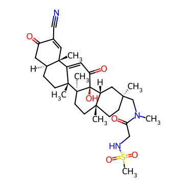 CN(C[C@@]1(C)CC[C@]2(C)CC[C@@]3(C)[C@]4(C)CC[C@H]5CC(=O)C(C#N)=C[C@]5(C)C4=CC(=O)[C@]3(O)[C@@H]2C1)C(=O)CNS(C)(=O)=O